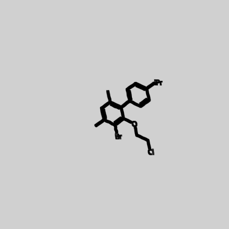 Cc1cc(C)c(-c2ccc(C(C)C)cc2)c(OCCCl)c1Br